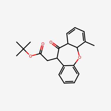 CC1=CC=CC2C(=O)C(CC(=O)OC(C)(C)C)c3ccccc3OC12